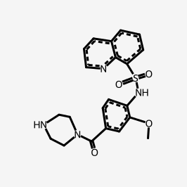 COc1cc(C(=O)N2CCNCC2)ccc1NS(=O)(=O)c1cccc2cccnc12